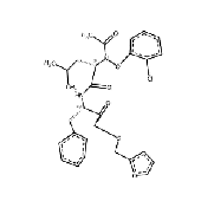 CC(=O)N(Oc1ccccc1Cl)[C@@H](CC(C)C)C(=O)N[C@@H](Cc1ccccc1)C(=O)CSCc1ccco1